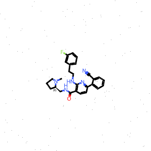 CN1CCC[C@@H]1CNC(=O)c1ccc(-c2ccccc2C#N)nc1NCCc1cccc(F)c1